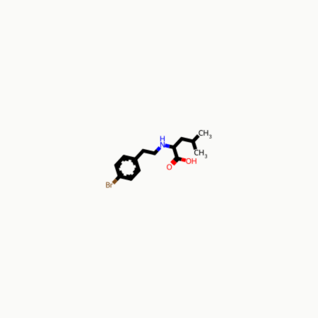 CC(C)CC(NCCc1ccc(Br)cc1)C(=O)O